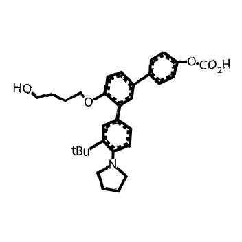 CC(C)(C)c1cc(-c2cc(-c3ccc(OC(=O)O)cc3)ccc2OCCCCO)ccc1N1CCCC1